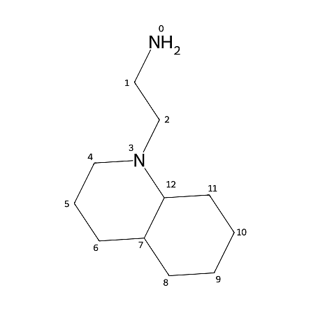 NCCN1CCCC2CCCCC21